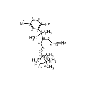 CC(C)(c1cc(Br)ccc1F)C(CCC#N)CCO[Si](C)(C)C(C)(C)C